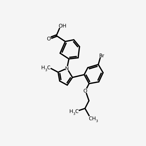 Cc1ccc(-c2cc(Br)ccc2OCC(C)C)n1-c1cccc(C(=O)O)c1